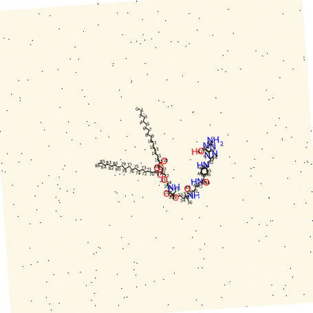 CCCCCCCCCCCCCCCCCC(=O)OCC(COCCNC(=O)C(C)(C)OCCC(C)(C)NC(=O)CCCNC(=O)c1ccc(NCc2cnc3nc(N)nc(O)c3n2)cc1)OC(=O)CCCCCCCCCCCCCCCCC